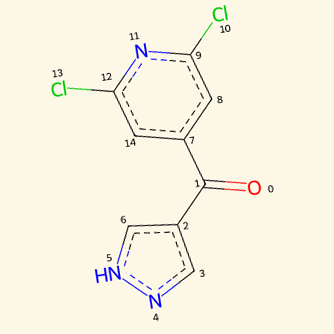 O=C(c1cn[nH]c1)c1cc(Cl)nc(Cl)c1